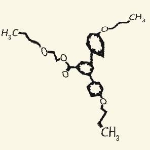 CCCCOCCOC(=O)c1cc(-c2ccc(OCCCC)cc2)cc(-c2ccc(OCCCC)cc2)c1